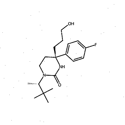 C[C@H](N1CC[C@](CCCO)(c2ccc(F)cc2)NC1=O)C(C)(C)C